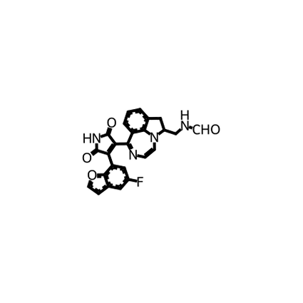 O=CNCC1Cc2cccc3c2N1C=CN=C3C1=C(c2cc(F)cc3ccoc23)C(=O)NC1=O